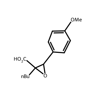 CCCCC1(C(=O)O)OC1c1ccc(OC)cc1